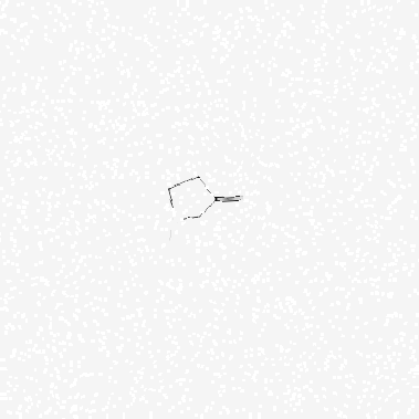 O=C1CC[SH]C1